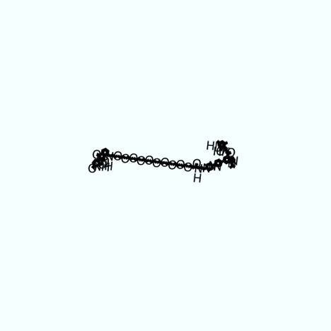 Cc1cc(C)c(CNC(=O)c2cc(-c3ccc(N4CCN(CCNC(=O)CCOCCOCCOCCOCCOCCOCCOCCOCCOCCOCCNc5cccc6c5C(=O)N(C5CCC(=O)NC5=O)C6=O)CC4)nc3)cc3c2cnn3C(C)C)c(=O)[nH]1